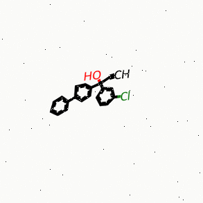 C#CC(O)(c1ccc(-c2ccccc2)cc1)c1cccc(Cl)c1